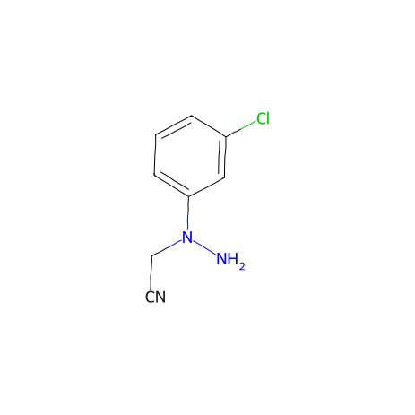 N#CCN(N)c1cccc(Cl)c1